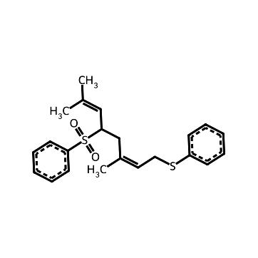 CC(C)=CC(CC(C)=CCSc1ccccc1)S(=O)(=O)c1ccccc1